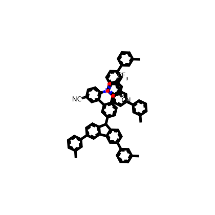 Cc1cccc(-c2ccc3c(c2)-c2cc(-c4cccc(C)c4)ccc2C3c2ccc(-c3ccc(C(F)(F)F)cc3C#N)c(-c3cc(C#N)ccc3-n3c4ccc(-c5cccc(C)c5)cc4c4cc(-c5cccc(C)c5)ccc43)c2)c1